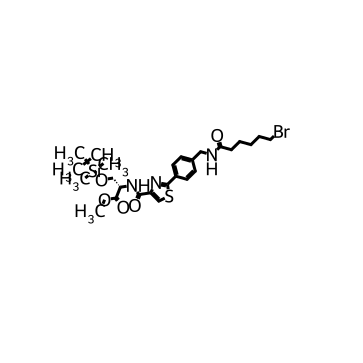 COC(=O)[C@H](CO[Si](C)(C)C(C)(C)C)NC(=O)c1csc(-c2ccc(CNC(=O)CCCCCBr)cc2)n1